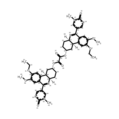 CCOc1cc2c(cc1OC)C(c1cnc(=O)n(C)c1)=N[C@@H]1CC[C@@H](OC(=O)C(=O)O[C@@H]3CC[C@H]4N=C(c5cnc(=O)n(C)c5)c5cc(OC)c(OCC)cc5[C@H]4C3)C[C@H]21